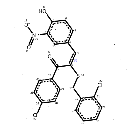 O=C(/C(=C\c1ccc(O)c([N+](=O)[O-])c1)SCc1ccccc1Cl)c1ccc(Cl)cc1